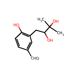 CC(C)(O)C(O)Cc1cc(C=O)ccc1O